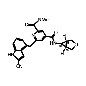 CNC(=O)c1cc(C(=O)N[C@H]2[C@@H]3COC[C@@H]32)cc(Cc2cccc3[nH]c(C#N)cc23)n1